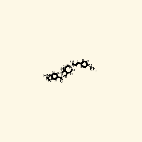 O=C(/C=C/c1ccc(OC(F)(F)F)cc1)N1CCC2CN(C(=O)c3ccc4[nH]nnc4c3)C[C@H]2CC1